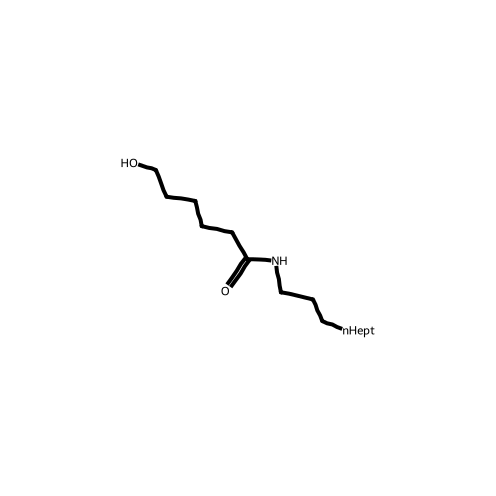 CCCCCCCCCCNC(=O)CCCCCO